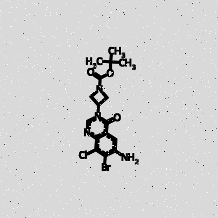 CC(C)(C)OC(=O)N1CC(n2cnc3c(Cl)c(Br)c(N)cc3c2=O)C1